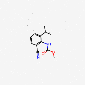 COC(=O)Nc1c(C#N)cccc1C(C)C